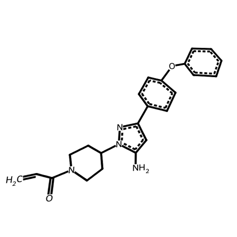 C=CC(=O)N1CCC(n2nc(-c3ccc(Oc4ccccc4)cc3)cc2N)CC1